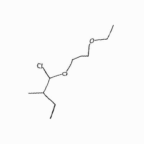 CCOCCOC(Cl)C(C)CC